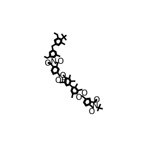 CCc1cc(Cc2cc(C)c(C(C)(C)C)c(CC)c2)cc(C)c1N1C(=O)c2ccc(C(O)Oc3c(C)cc(-c4cc(C)c(OC(=O)c5ccc6c(c5)C(=O)N(C(C)(C)C)C6=O)c(C)c4C)c(C)c3C)cc2C1=O